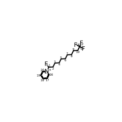 FC(CCCCCCCCCC(F)(F)F)[n+]1ccccc1